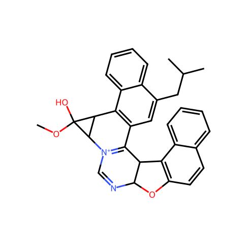 COC1(O)C2c3c(cc(CC(C)C)c4ccccc34)C3=[N+](C=NC4Oc5ccc6ccccc6c5C34)C21